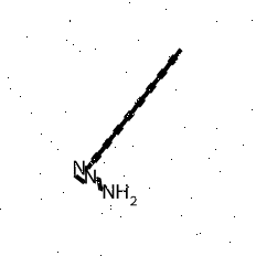 CC#CC#CC#CC#CC#CC#CC#CC#CC1=NCCN1CCN